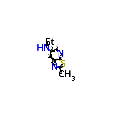 CCNc1cnc2sc(C)nc2c1